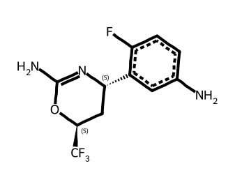 NC1=N[C@H](c2cc(N)ccc2F)C[C@@H](C(F)(F)F)O1